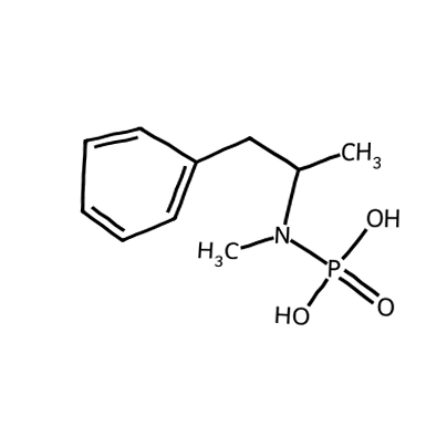 CC(Cc1ccccc1)N(C)P(=O)(O)O